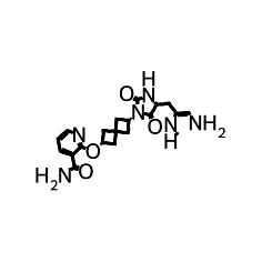 CN/C(=C\N)CC1NC(=O)N([C@H]2CC3(C[C@H](Oc4ncccc4C(N)=O)C3)C2)C1=O